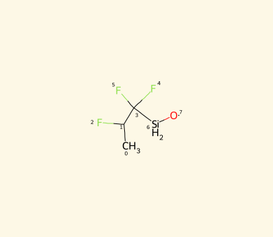 CC(F)C(F)(F)[SiH2][O]